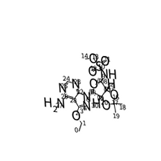 CCOc1nn([C@@H]2O[C@@H](NS(=O)(=O)OC)[C@@H]3OC(C)(C)O[C@H]32)c2ncnc(N)c12